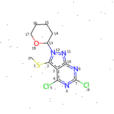 CSc1c2c(Cl)nc(Cl)nc2nn1C1CCCCO1